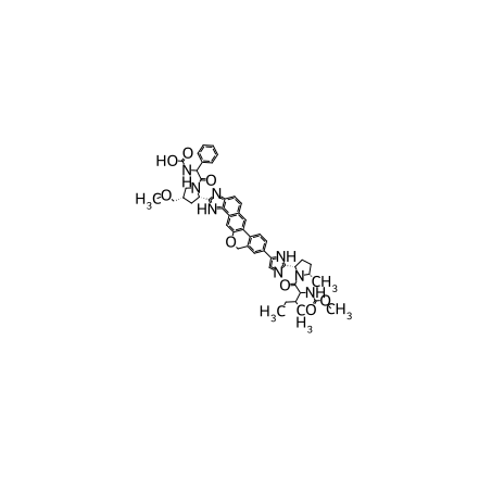 CCC(C)C(NC(=O)OC)C(=O)N1[C@@H](C)CC[C@H]1c1ncc(-c2ccc3c(c2)COc2cc4c(ccc5nc([C@@H]6C[C@H](COC)CN6C(=O)C(NC(=O)O)c6ccccc6)[nH]c54)cc2-3)[nH]1